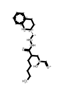 CCCCCC(CN(O)C=O)C(=O)NNC[C@H]1CCc2ccccc2N1